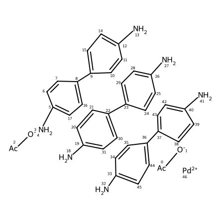 CC(=O)[O-].CC(=O)[O-].Nc1ccc(-c2ccc(N)cc2)cc1.Nc1ccc(-c2ccc(N)cc2)cc1.Nc1ccc(-c2ccc(N)cc2)cc1.[Pd+2]